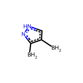 Bc1c[nH]nc1B